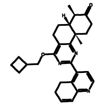 C[C@H]1C(=O)CC[C@@]2(C)c3nc(-c4ccnc5c4CCC=C5)nc(OCC4CCC4)c3CC[C@H]12